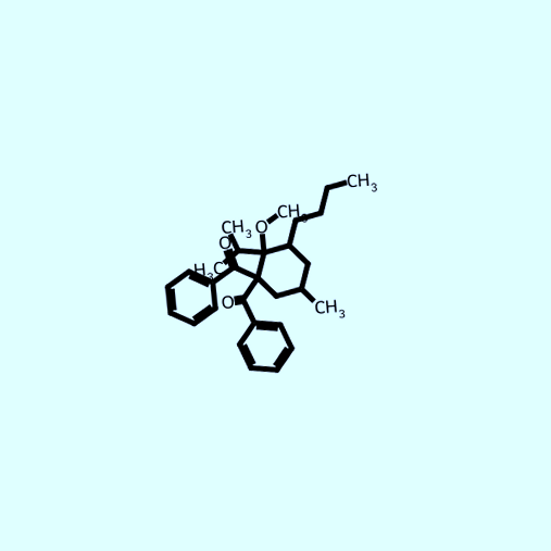 CCCCC1CC(C)CC(C(=O)c2ccccc2)(C(=O)c2ccccc2)C1(OC)C(C)C